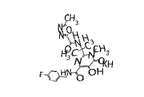 Cc1nnc(C(=O)NC(C)(C)c2nc(C(=O)NCc3ccc(F)cc3)c(O)c(=O)n2C)o1.[KH]